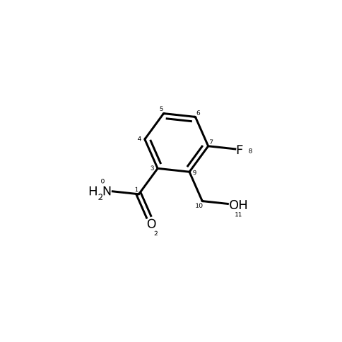 NC(=O)c1cccc(F)c1CO